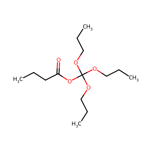 CCCOC(OCCC)(OCCC)OC(=O)CCC